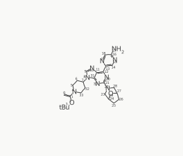 C=C(OC(C)(C)C)N1CCC(n2cnc3c(-c4cnc(N)cn4)nc(N4CC5CCC(C4)O5)nc32)CC1